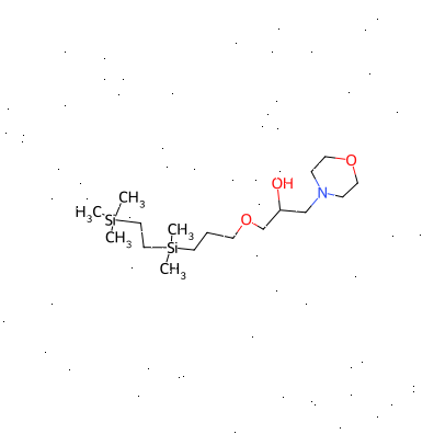 C[Si](C)(C)CC[Si](C)(C)CCCOCC(O)CN1CCOCC1